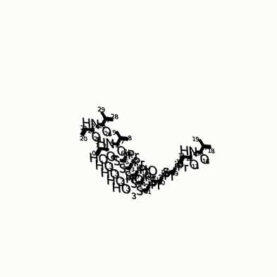 C=CC(=O)NC(=O)C(=C)C.C=CC(=O)NC(=O)C(=C)C.C=CC(=O)NC(=O)C(=C)C.CC(C)CS(=O)(=O)O.CC(C)CS(=O)(=O)O.CC(C)CS(=O)(=O)O.CC(C)CS(=O)(=O)O.CC(C)CS(=O)(=O)O.CC(C)CS(=O)(=O)O.CC(C)CS(=O)(=O)O